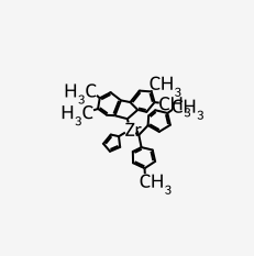 Cc1ccc([C](c2ccc(C)cc2)=[Zr]([CH]2C=CC=C2)[CH]2c3cc(C)c(C)cc3-c3cc(C)c(C)cc32)cc1